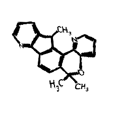 CC1c2cccnc2-c2ccc3c(c21)-c1ncccc1OC3(C)C